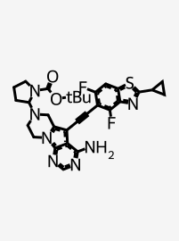 CC(C)(C)OC(=O)N1CCCC1N1CCn2c(c(C#Cc3c(F)cc4sc(C5CC5)nc4c3F)c3c(N)ncnc32)C1